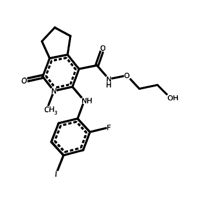 Cn1c(Nc2ccc(I)cc2F)c(C(=O)NOCCO)c2c(c1=O)CCC2